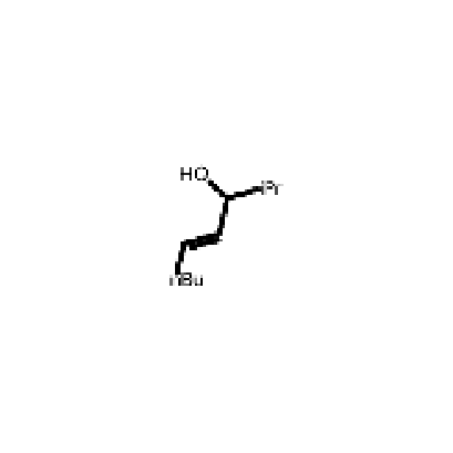 CCCCC=CC(O)C(C)C